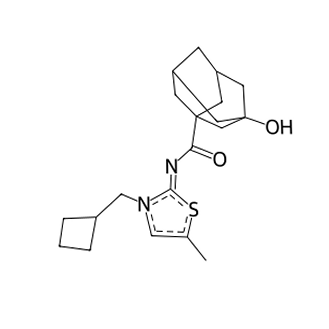 Cc1cn(CC2CCC2)/c(=N/C(=O)C23CC4CC(CC(O)(C4)C2)C3)s1